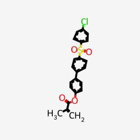 C=C(C)C(=O)Oc1ccc(-c2ccc(S(=O)(=O)c3ccc(Cl)cc3)cc2)cc1